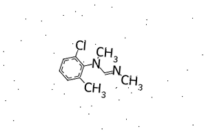 CN=CN(C)c1c(C)cccc1Cl